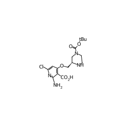 CC(C)(C)OC(=O)N1CCN[C@@H](COc2cc(Cl)nc(N)c2C(=O)O)C1